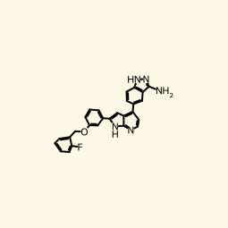 Nc1n[nH]c2ccc(-c3ccnc4[nH]c(-c5cccc(OCc6ccccc6F)c5)cc34)cc12